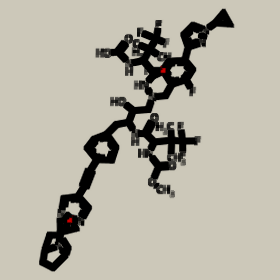 COC(=O)NC(C(=O)NC(Cc1ccc(C#Cc2cnc(N3CC4CCC(C3)N4C3COC3)nc2)cc1)C(O)CN(Cc1c(F)cc(-c2ccn(C3CC3)n2)cc1F)NC(=O)C(NC(=O)O)C(C)(C)C(F)(F)F)C(C)(C)C(F)(F)F